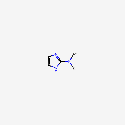 [CH2]CN(C(C)=O)c1ncc[nH]1